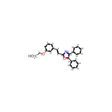 O=C(O)COc1cccc(C=Cc2nc(-c3ccccc3)c(-c3ccccc3)o2)c1